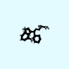 CNCCC(c1ccccc1)c1c[nH]c2cccc(Cl)c12